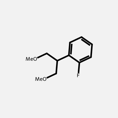 COCC(COC)c1ccccc1F